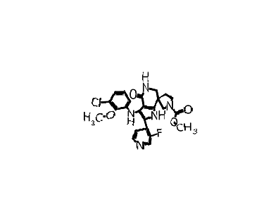 COC(=O)N1CC[C@@]2(CNC(=O)c3c2[nH]c(-c2ccncc2F)c3Nc2cccc(Cl)c2OC)C1